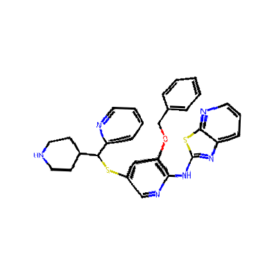 c1ccc(COc2cc(SC(c3ccccn3)C3CCNCC3)cnc2Nc2nc3cccnc3s2)cc1